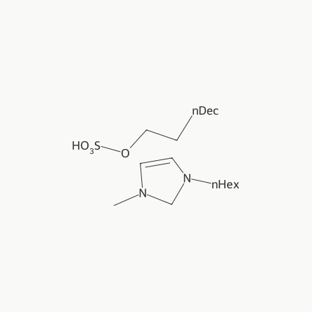 CCCCCCCCCCCCOS(=O)(=O)O.CCCCCCN1C=CN(C)C1